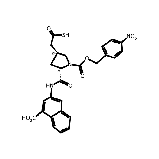 O=C(S)C[C@@H]1C[C@@H](C(=O)Nc2cc(C(=O)O)c3ccccc3c2)N(C(=O)OCc2ccc([N+](=O)[O-])cc2)C1